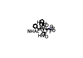 CC(=O)N[C@@H](C(=O)N1C[C@H]2CCC[C@H]2[C@H]1C(=O)N[C@@H](/C=C(\F)S(C)(=O)=O)C[C@H]1CCNC1=O)c1ccccc1